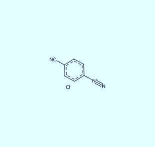 N#Cc1ccc([N+]#N)cc1.[Cl-]